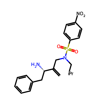 C=C(CN(CC(C)C)S(=O)(=O)c1ccc([N+](=O)[O-])cc1)[C@@H](N)Cc1ccccc1